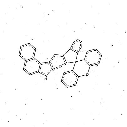 c1ccc2c(c1)Oc1ccccc1C21c2ccccc2-c2cc3c(cc21)[nH]c1ccc2ccccc2c13